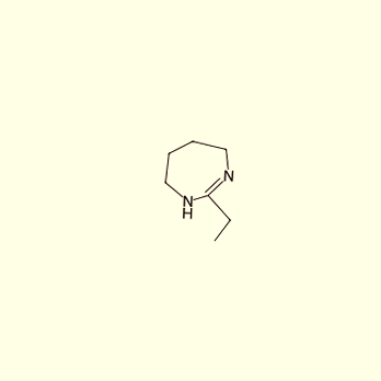 CCC1=NCCCCN1